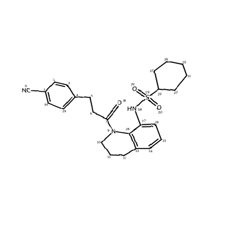 N#Cc1ccc(CCC(=O)N2CCCc3cccc(NS(=O)(=O)C4CCCCC4)c32)cc1